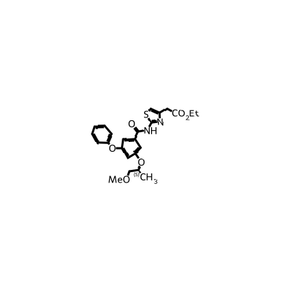 CCOC(=O)Cc1csc(NC(=O)c2cc(Oc3ccccc3)cc(O[C@@H](C)COC)c2)n1